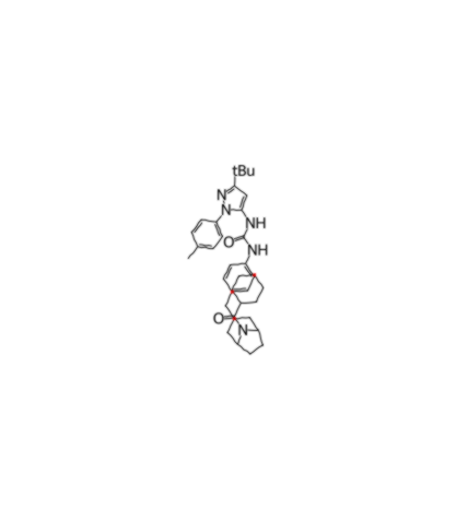 Cc1ccc(-n2nc(C(C)(C)C)cc2NC(=O)Nc2ccc(CC3CC4CCC(C3)N4C(=O)C3CCCCC3)cc2)cc1